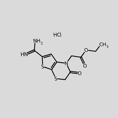 CCOC(=O)CN1C(=O)CSc2sc(C(=N)N)cc21.Cl